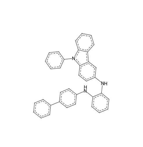 c1ccc(-c2ccc(Nc3ccccc3Nc3ccc4c(c3)c3ccccc3n4-c3ccccc3)cc2)cc1